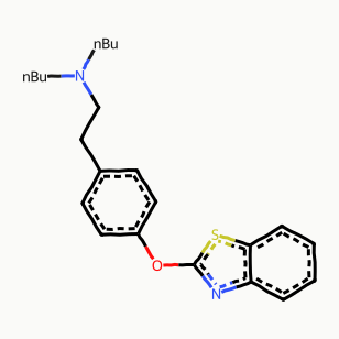 CCCCN(CCCC)CCc1ccc(Oc2nc3ccccc3s2)cc1